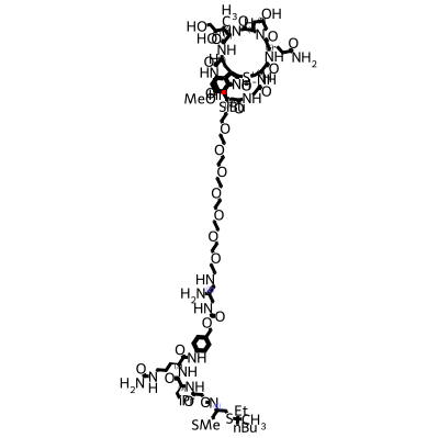 CCCCC(C)(CC)SC/C(CSC)=N/OCC(=O)N[C@@H](CC(C)C)C(=O)N[C@@H](CCCNC(N)=O)C(=O)Nc1ccc(COC(=O)NC/C(N)=C/NCCOCCOCCOCCOCCOCCOCCOCCSCc2c(OC)ccc3c4c([nH]c23)[S+]([O-])C[C@H]2NC(=O)CNC(=O)[C@H]([C@@H](C)CC)NC(=O)CNC(=O)[C@H](C4)NC(=O)[C@H]([C@@H](C)[C@@H](O)CO)NC(=O)[C@@H]3C[C@@H](O)CN3C(=O)[C@H](CCC(N)=O)NC2=O)cc1